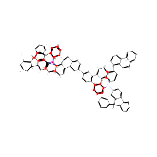 CC1(c2ccccc2)c2ccccc2-c2ccc(N(c3ccc(-c4cccc5c4ccc4ccccc45)cc3)c3ccccc3-c3ccccc3-c3cc(-c4ccc5ccc6c(N(c7ccc8c(c7)C(C)(c7ccccc7)c7ccccc7-8)c7ccccc7-c7ccccc7-c7ccccc7-c7ccccc7)cccc6c5c4)ccc3-c3ccccc3)cc21